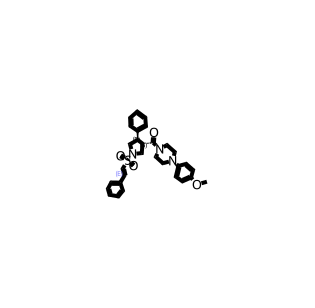 COc1ccc(N2CCN(C(=O)[C@@H]3CN(S(=O)(=O)/C=C/c4ccccc4)C[C@H]3c3ccccc3)CC2)cc1